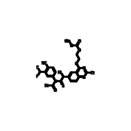 CCC(=O)N(C(=S)C(CC)c1ccc2nc(CC)nc(OCCOC(=O)OC(C)(C)C)c2c1)c1ccc(C#N)c(C(F)F)c1